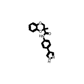 CC1(C(=O)Nc2ccc(-c3cn[nH]c3)cc2)COc2ccccc2O1